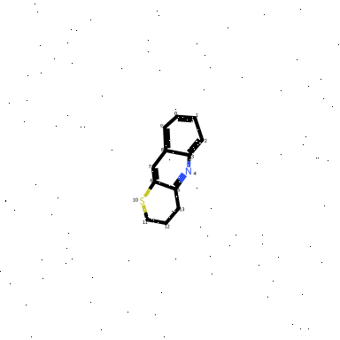 c1ccc2nc3c(cc2c1)SCCC3